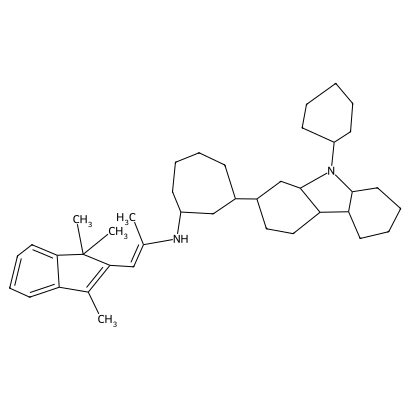 CC1=C(/C=C(\C)NC2CCCCC(C3CCC4C5CCCCC5N(C5CCCCC5)C4C3)C2)C(C)(C)c2ccccc21